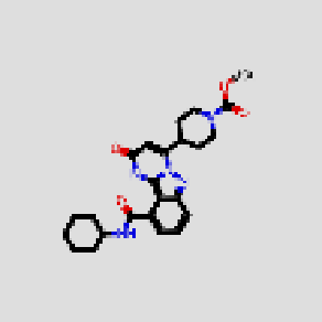 CC(C)(C)OC(=O)N1CCC(c2cc(=O)[nH]c3c4c(C(=O)NC5CCCCC5)cccc4nn23)CC1